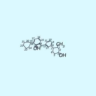 CC1CC(O)CCC1c1cccc(Cc2cccc(C3CCCCC3)c2O)c1